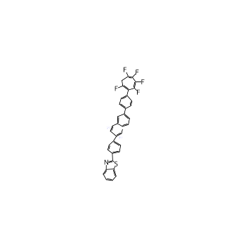 C/C=C(\C=C/c1cccc(-c2ccc(C3=C(F)CC(F)=C(F)C(F)=C3F)cc2)c1)c1ccc(-c2nc3ccccc3s2)cc1